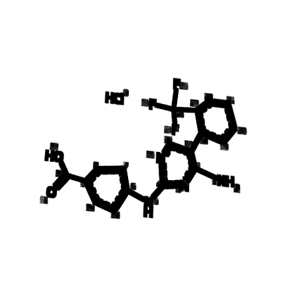 Cl.Nc1nc(Nc2ccc(C(=O)O)cc2)ncc1-c1ccccc1C(F)(F)F